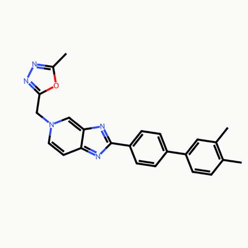 Cc1nnc(Cn2ccc3nc(-c4ccc(-c5ccc(C)c(C)c5)cc4)nc-3c2)o1